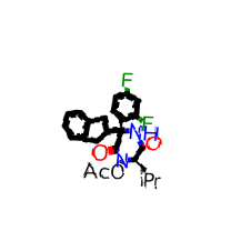 CC(=O)ON1C(=O)[C@](c2ccc(F)cc2F)(C2Cc3ccccc3C2)NC(=O)[C@H]1CC(C)C